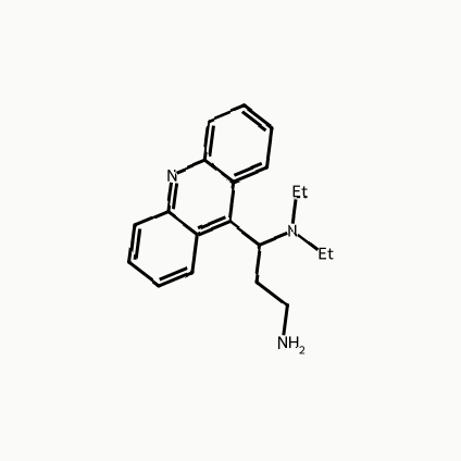 CCN(CC)C(CCN)c1c2ccccc2nc2ccccc12